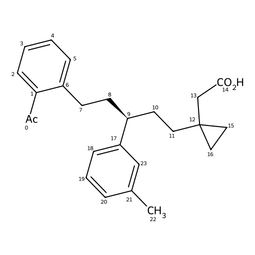 CC(=O)c1ccccc1CC[C@@H](CCC1(CC(=O)O)CC1)c1cccc(C)c1